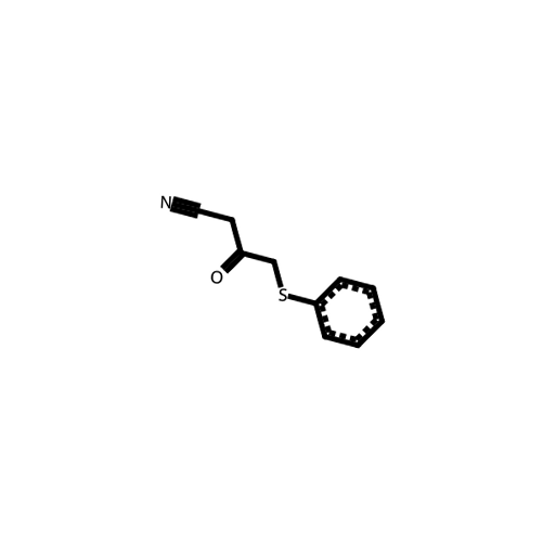 N#CCC(=O)CSc1ccccc1